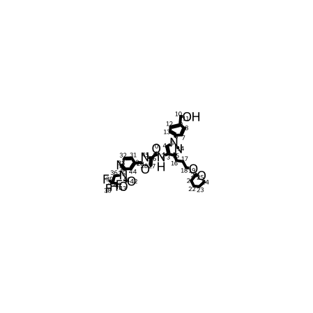 O=C(Nc1cn(-c2ccc(CO)cc2)nc1CCCOC1CCCCO1)c1coc(-c2ccnc(N(CC(F)(F)F)C(=O)O)c2)n1